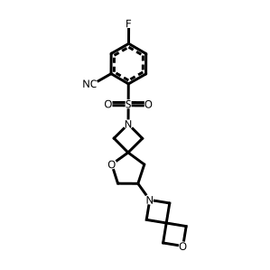 N#Cc1cc(F)ccc1S(=O)(=O)N1CC2(CC(N3CC4(COC4)C3)CO2)C1